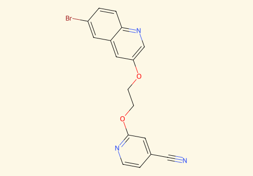 N#Cc1ccnc(OCCOc2cnc3ccc(Br)cc3c2)c1